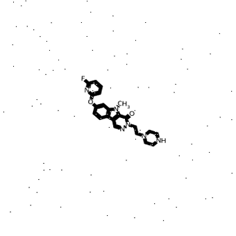 Cn1c2cc(Oc3cccc(F)n3)ccc2c2cnn(CCN3CCNCC3)c(=O)c21